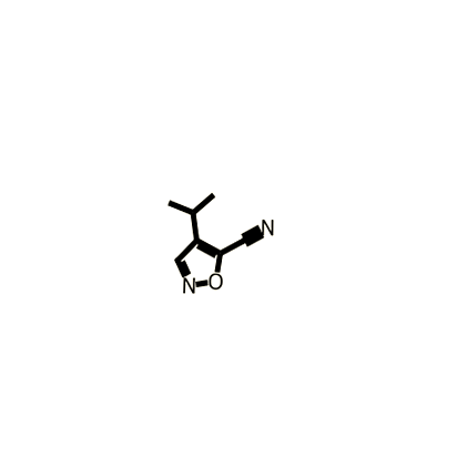 CC(C)c1cnoc1C#N